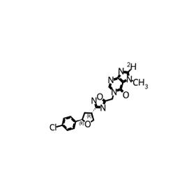 [2H]c1nc2ncn(Cc3nc([C@@H]4CO[C@@H](c5ccc(Cl)cc5)C4)no3)c(=O)c2n1C